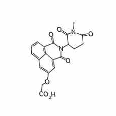 CN1C(=O)CCC(N2C(=O)c3cccc4cc(OCC(=O)O)cc(c34)C2=O)C1=O